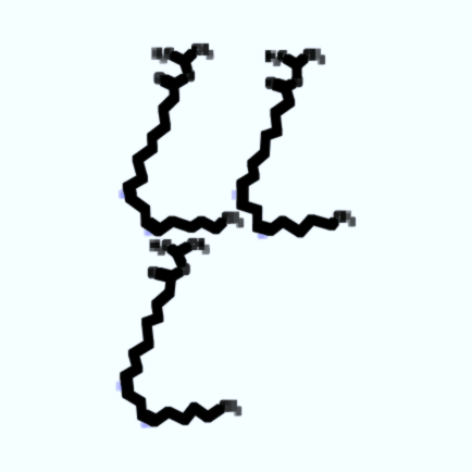 CCCCC/C=C\C/C=C\CCCCCCCC(=O)OC(C)C.CCCCC/C=C\C/C=C\CCCCCCCC(=O)OC(C)C.CCCCC/C=C\C/C=C\CCCCCCCC(=O)OC(C)C